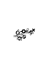 Cc1ccc(C(=O)Nc2cc(C(C)(C)C)nn2C)cc1Nc1nccn1-c1cc(NN2CCN(C)CC2)ncn1